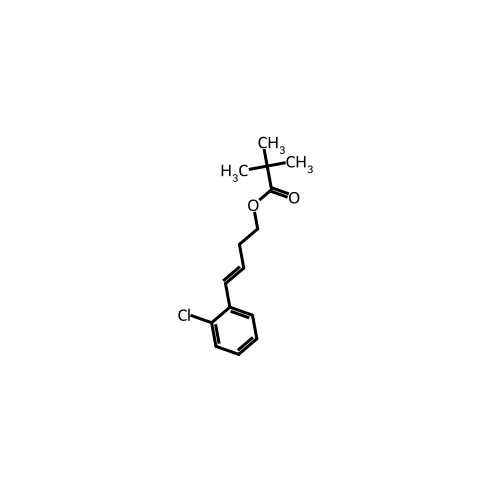 CC(C)(C)C(=O)OCC/C=C/c1ccccc1Cl